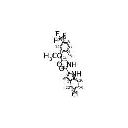 COC(=O)[C@H](Cc1ccc(C(F)(F)F)cc1)NC(=O)c1cc2cc(Cl)ccc2[nH]1